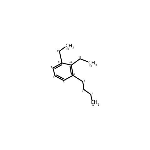 CCCCc1[c]ccc(CC)c1CC